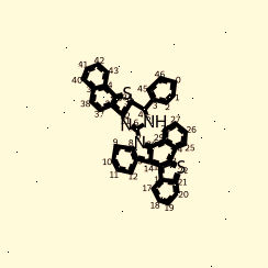 c1ccc(C2NC(n3c4ccccc4c4c5c6ccccc6sc5c5ccccc5c43)=Nc3c2sc2c3ccc3ccccc32)cc1